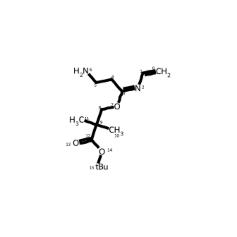 C=C/N=C(\CCN)OCC(C)(C)C(=O)OC(C)(C)C